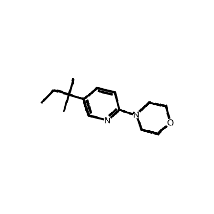 CCC(C)(C)c1ccc(N2CCOCC2)nc1